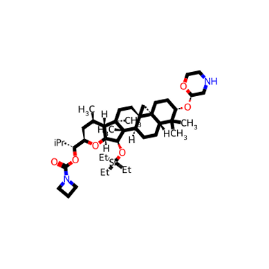 CC[Si](CC)(CC)O[C@H]1[C@H]2O[C@@H]([C@H](OC(=O)N3CCC3)C(C)C)C[C@@H](C)[C@@H]2[C@@]2(C)CC[C@@]34C[C@@]35CC[C@H](O[C@H]3CNCCO3)C(C)(C)[C@@H]5CC[C@H]4[C@]12C